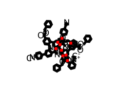 [C-]#[N+]c1ccc(-c2ccc(-c3nc(-c4ccc(-c5ccccc5[N+]#[C-])cc4)nc(-c4ccc(-c5ccc(C#N)cc5)cc4-n4c5ccc(C(=O)OCc6ccccc6)cc5c5cc(C(=O)OCc6ccccc6)ccc54)n3)c(-n3c4ccc(C(=O)OCc5ccccc5)cc4c4cc(C(=O)OCc5ccccc5)ccc43)c2)cc1